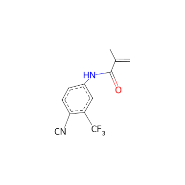 [C-]#[N+]c1ccc(NC(=O)C(=C)C)cc1C(F)(F)F